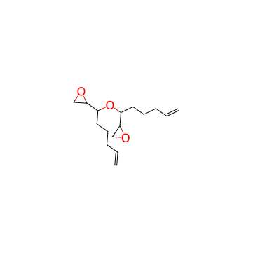 C=CCCCC(OC(CCCC=C)C1CO1)C1CO1